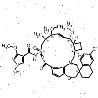 COc1nn(C)cc1C(=O)N[S@@]1(=O)=NC(=O)c2ccc3c(c2)N(C[C@@H]2CC[C@H]2[C@@H](OC)/C=C/[C@](C)(OC)[C@H](C)C1)C[C@@]1(CCCc2cc(Cl)ccc21)CO3